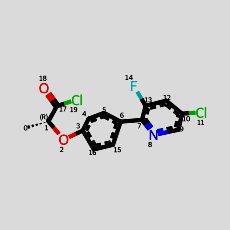 C[C@@H](Oc1ccc(-c2ncc(Cl)cc2F)cc1)C(=O)Cl